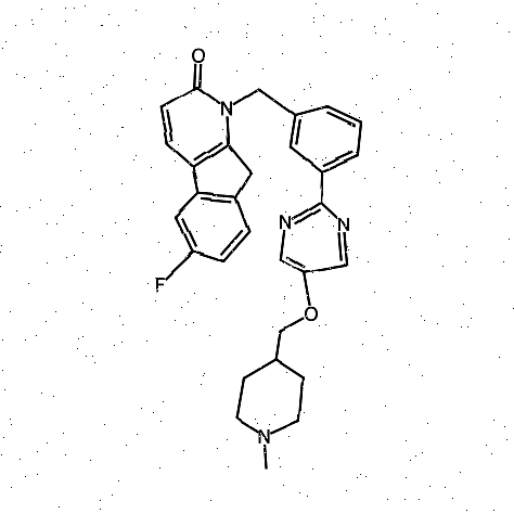 CN1CCC(COc2cnc(-c3cccc(Cn4c5c(ccc4=O)-c4cc(F)ccc4C5)c3)nc2)CC1